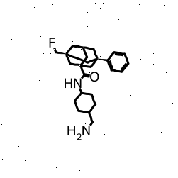 NCC1CCC(NC(=O)C23CC4C[C@@](CF)(C2)C[C@](c2ccccc2)(C4)C3)CC1